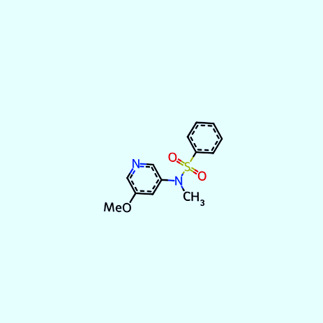 COc1cncc(N(C)S(=O)(=O)c2ccccc2)c1